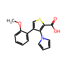 COc1ccccc1-c1csc(C(=O)O)c1-n1cccc1